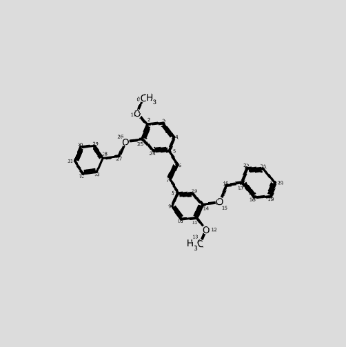 COc1ccc(C=Cc2ccc(OC)c(OCc3ccccc3)c2)cc1OCc1ccccc1